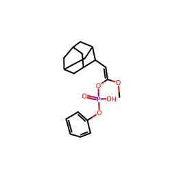 COC(=CC1C2CC3CC(C2)CC1C3)OP(=O)(O)Oc1ccccc1